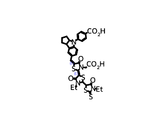 CCN1C(=O)C(C2S/C(=c3/s/c(=C/c4ccc5c(c4)C4CCCC4N5c4ccc(C(=O)O)cc4)c(=O)n3CC(=O)O)C(=O)N2CC)SC1=S